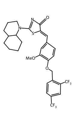 COc1cc(C=C2SC(N3CCCC4CCCCC43)=NC2=O)ccc1OCc1ccc(C(F)(F)F)cc1C(F)(F)F